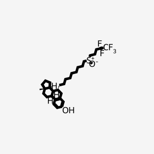 C[C@@]12CCC[C@H]1[C@H]1[C@H](CCCCCCCCC[S+]([O-])CCCC(F)(F)C(F)(F)F)Cc3cc(O)ccc3[C@H]1CC2